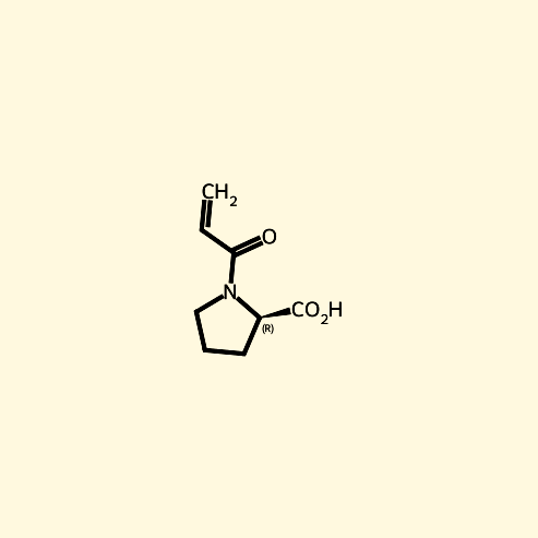 C=CC(=O)N1CCC[C@@H]1C(=O)O